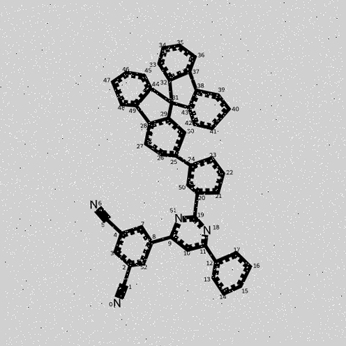 N#Cc1cc(C#N)cc(-c2cc(-c3ccccc3)nc(-c3cccc(-c4ccc5c(c4)C4(c6ccccc6-c6ccccc64)c4ccccc4-5)c3)n2)c1